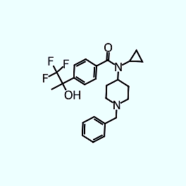 CC(O)(c1ccc(C(=O)N(C2CC2)C2CCN(Cc3ccccc3)CC2)cc1)C(F)(F)F